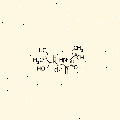 CC[C@H](C)C(CO)NC(=O)C1NC(=O)[C@H]([C@@H](C)CC)N1